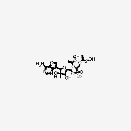 [CH2][CH]P(=O)(OCC1OC(c2coc3c(N)ncnc23)C(C)(O)C1O)C(COC(=C)SO)OC(=C)SO